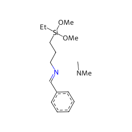 CC[Si](CCCN=Cc1ccccc1)(OC)OC.CNC